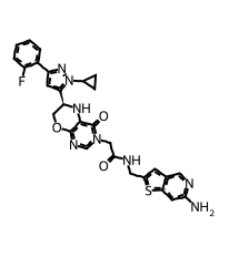 Nc1cc2sc(CNC(=O)Cn3cnc4c(c3=O)N[C@H](c3cc(-c5ccccc5F)nn3C3CC3)CO4)cc2cn1